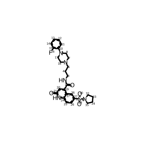 O=C(NCCCN1CCN(c2ccccc2F)CC1)c1cc(=O)[nH]c2ccc(S(=O)(=O)N3CCCC3)cc12